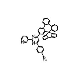 N#Cc1ccc(-c2cc(-c3ccc4c(c3)C3(c5ccccc5-c5ccccc5-4)c4ccccc4-c4ccccc43)nc(-c3cccnc3)n2)cc1